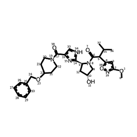 COc1cc(C(C(=O)N2C[C@H](O)C[C@H]2c2nc(C(=O)N3CCC(OCc4ccccc4)CC3)c[nH]2)C(C)C)on1